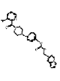 O=C(NCc1ccn2ccnc2c1)Nc1ccc(C2CCN(C(=O)c3ncccc3Cl)CC2)cc1